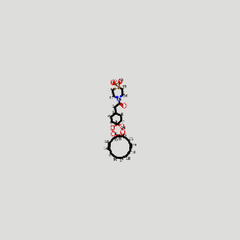 O=C(CC1CCC2(CC1)OOC1(CCCCCCCCCCC1)OO2)N1CCS(=O)(=O)CC1